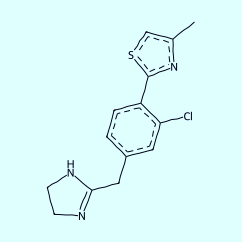 Cc1csc(-c2ccc(CC3=NCCN3)cc2Cl)n1